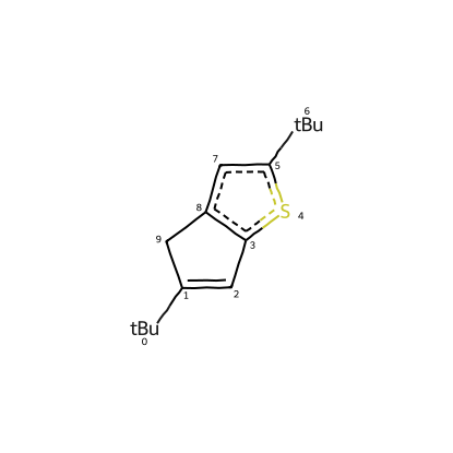 CC(C)(C)C1=Cc2sc(C(C)(C)C)cc2C1